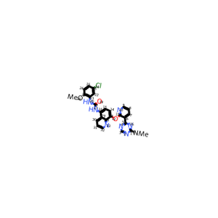 CNc1ncnc(-c2cccnc2Oc2ccc(NC(=O)Nc3cc(Cl)ccc3OC)c3cccnc23)n1